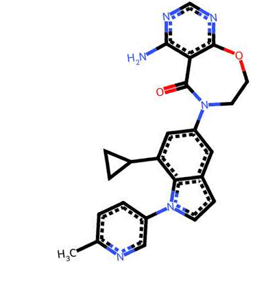 Cc1ccc(-n2ccc3cc(N4CCOc5ncnc(N)c5C4=O)cc(C4CC4)c32)cn1